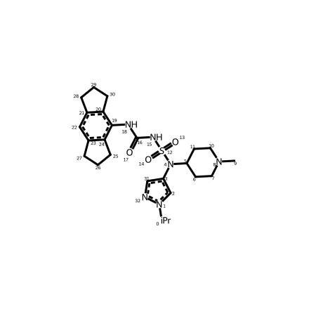 CC(C)n1cc(N(C2CCN(C)CC2)S(=O)(=O)NC(=O)Nc2c3c(cc4c2CCC4)CCC3)cn1